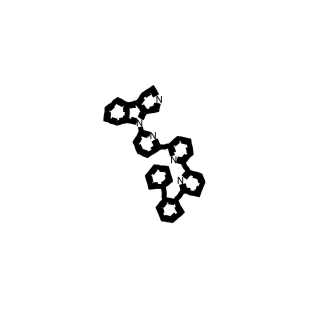 c1ccc(-c2ccccc2-c2cccc(-c3cccc(-c4cccc(-n5c6ccccc6c6ccncc65)n4)n3)n2)cc1